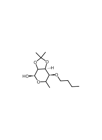 CCCCO[C@H]1C(C)O[C@@H](O)C2OC(C)(C)O[C@H]21